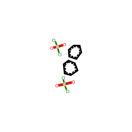 O=S(=O)(Cl)Cl.O=S(=O)(Cl)Cl.c1ccccc1.c1ccccc1